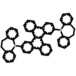 c1ccc2c(c1)CCc1ccccc1N2c1ccc2c3ccccc3c3c4cc(N5c6ccccc6CCc6ccccc65)ccc4c4ccccc4c3c2c1